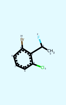 CC(F)c1c(Cl)cccc1Br